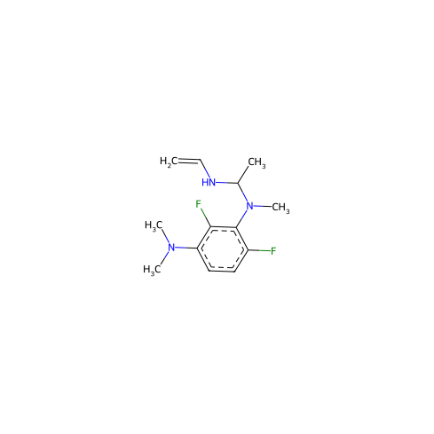 C=CNC(C)N(C)c1c(F)ccc(N(C)C)c1F